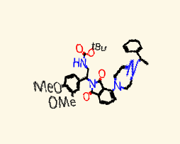 COc1ccc(C(CNC(=O)OC(C)(C)C)N2C(=O)c3cccc(N4CCN(C(C)c5ccccc5)CC4)c3C2=O)cc1OC